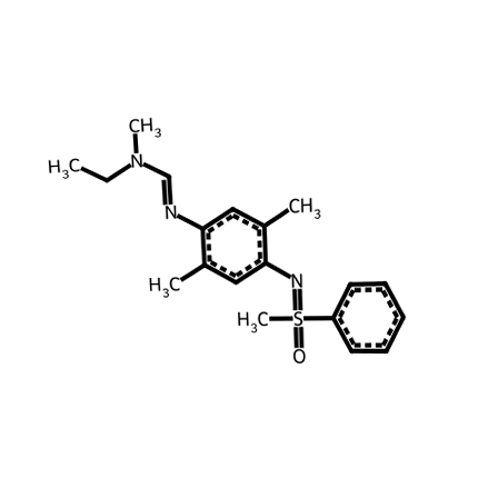 CCN(C)C=Nc1cc(C)c(N=S(C)(=O)c2ccccc2)cc1C